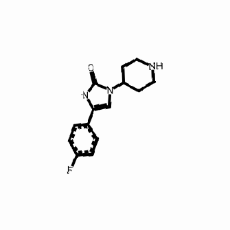 O=C1[N]C(c2ccc(F)cc2)=CN1C1CCNCC1